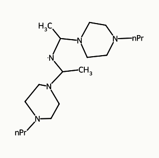 CCCN1CCN(C(C)[N]C(C)N2CCN(CCC)CC2)CC1